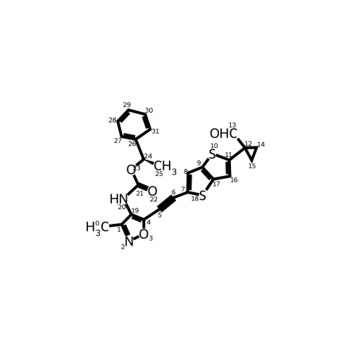 Cc1noc(C#Cc2cc3sc(C4(C=O)CC4)cc3s2)c1NC(=O)O[C@H](C)c1ccccc1